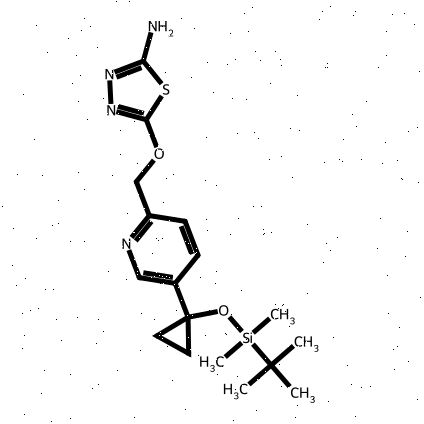 CC(C)(C)[Si](C)(C)OC1(c2ccc(COc3nnc(N)s3)nc2)CC1